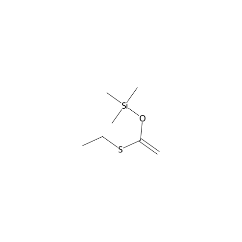 C=C(O[Si](C)(C)C)SCC